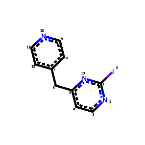 Ic1nccc(Cc2ccncc2)n1